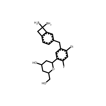 BC1(B)Cc2ccc(Cc3cc(C4CC(O)CC(CO)O4)c(F)cc3CC)cc21